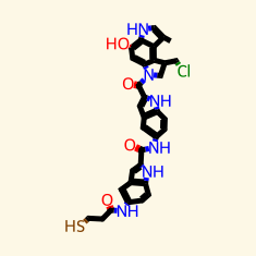 Cc1c[nH]c2c(O)cc3c(c12)C(CCl)CN3C(=O)c1cc2cc(NC(=O)c3cc4cc(NC(=O)CCS)ccc4[nH]3)ccc2[nH]1